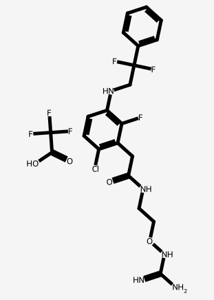 N=C(N)NOCCNC(=O)Cc1c(Cl)ccc(NCC(F)(F)c2ccccc2)c1F.O=C(O)C(F)(F)F